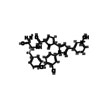 NC(=O)[C@@H](Cc1ccccc1)NC(=O)c1ccc(-c2cc(-c3ccc[n+](O)c3)nn2-c2ccc(Cl)c(Cl)c2)s1